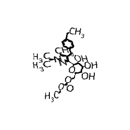 CCOC(=O)OC[C@H]1O[C@@H](c2nn(C(C)C)c(C)c2Cc2ccc(CC)cc2)[C@H](O)[C@@H](O)[C@@H]1O